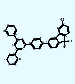 FC1(F)c2ccc(Cl)cc2-c2cc(-c3ccc(-c4cc(-c5ccccc5)cc(C5=CCCC=C5)n4)cc3)ccc21